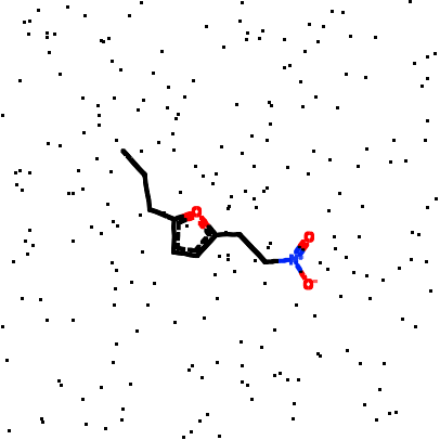 CCCc1ccc(CC[N+](=O)[O-])o1